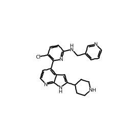 Clc1ccc(NCc2cccnc2)nc1-c1ccnc2[nH]c(C3CCNCC3)cc12